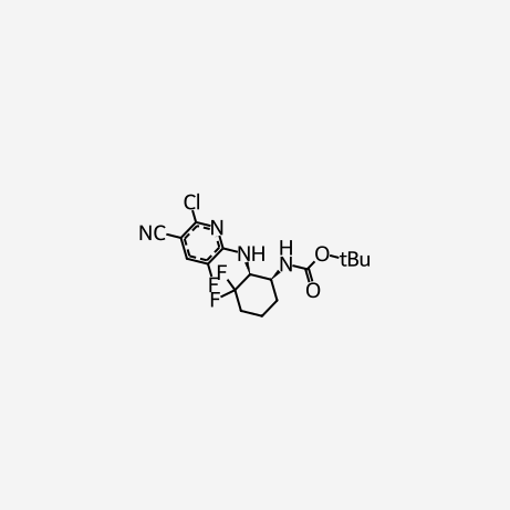 CC(C)(C)OC(=O)N[C@H]1CCCC(F)(F)[C@H]1Nc1nc(Cl)c(C#N)cc1F